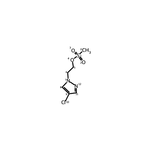 CS(=O)(=O)OCCn1cc(Cl)cn1